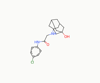 O=C(CNC12CC3CC(CC(O)(C3)C1)C2)Nc1ccc(Cl)cc1